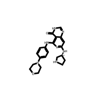 O=c1[nH]cnc2cc(N[C@H]3CCNC3)nc(Nc3ccc(N4CCOCC4)cc3)c12